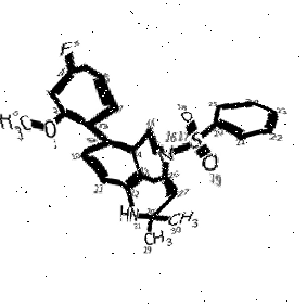 COc1cc(F)ccc1-c1ccc2c3c1CN(S(=O)(=O)c1ccccc1)C3=CC(C)(C)N2